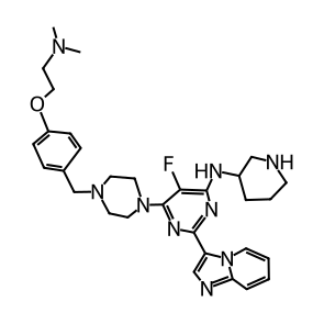 CN(C)CCOc1ccc(CN2CCN(c3nc(-c4cnc5ccccn45)nc(NC4CCCNC4)c3F)CC2)cc1